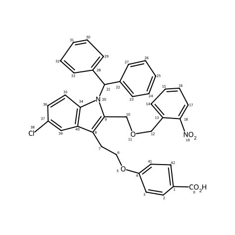 O=C(O)c1ccc(OCCc2c(COCc3ccccc3[N+](=O)[O-])n(C(c3ccccc3)c3ccccc3)c3ccc(Cl)cc23)cc1